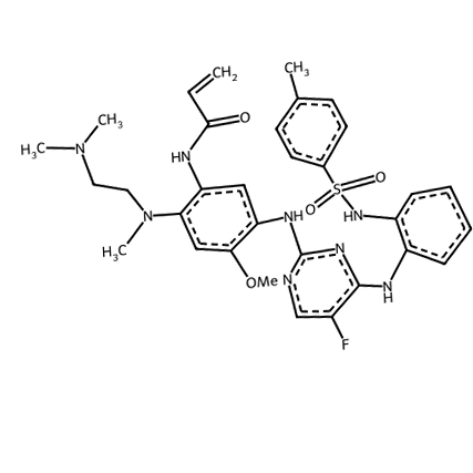 C=CC(=O)Nc1cc(Nc2ncc(F)c(Nc3ccccc3NS(=O)(=O)c3ccc(C)cc3)n2)c(OC)cc1N(C)CCN(C)C